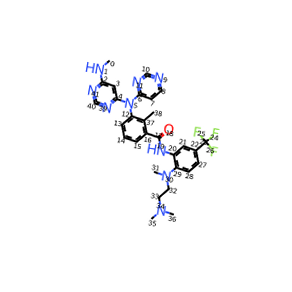 CNc1cc(N(c2ccncn2)c2cccc(C(=O)Nc3cc(C(F)(F)F)ccc3N(C)CCN(C)C)c2C)ncn1